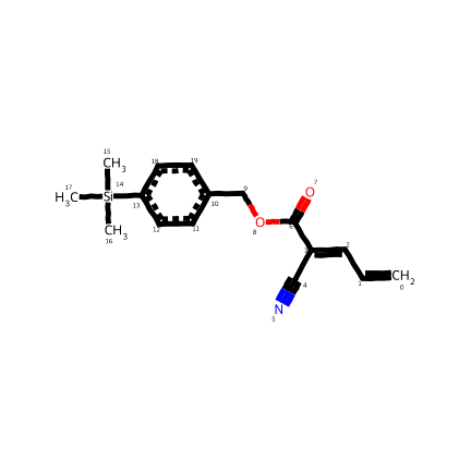 C=CC=C(C#N)C(=O)OCc1ccc([Si](C)(C)C)cc1